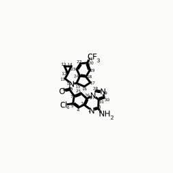 Nc1nc2cc(Cl)c(C(=O)N(CC3CC3)C3CCc4cc(C(F)(F)F)ccc43)cc2n2cncc12